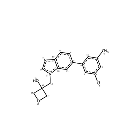 Cc1cc(Cl)cc(-c2ccc3ncn(CC4(O)COC4)c3c2)c1